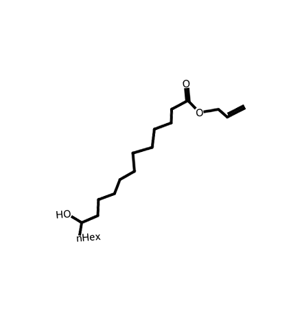 C=CCOC(=O)CCCCCCCCCCC(O)CCCCCC